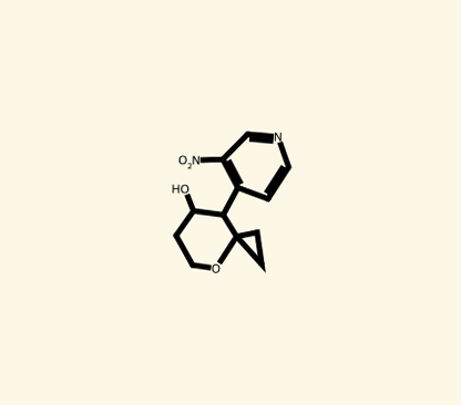 O=[N+]([O-])c1cnccc1C1C(O)CCOC12CC2